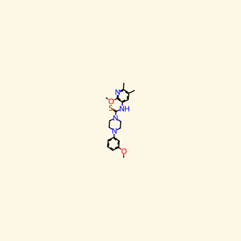 COc1cccc(N2CCN(C(=S)Nc3cc(C)c(C)nc3OC)CC2)c1